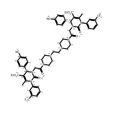 CCOC(=O)C1=C(C)N(c2cccc(C(F)(F)F)c2)C(=O)N(CC(=O)N2CCN(CCN3CCN(C(=O)CN4C(=O)N(c5cccc(C(F)(F)F)c5)C(C)=C(C(=O)OCC)[C@H]4c4ccc(C#N)cc4)CC3)CC2)[C@@H]1c1ccc(C#N)cc1